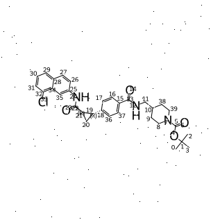 CC(C)(C)OC(=O)N1CCC(CNC(=O)c2ccc([C@@H]3C[C@H]3C(=O)Nc3ccc4cccc(Cl)c4c3)cc2)CC1